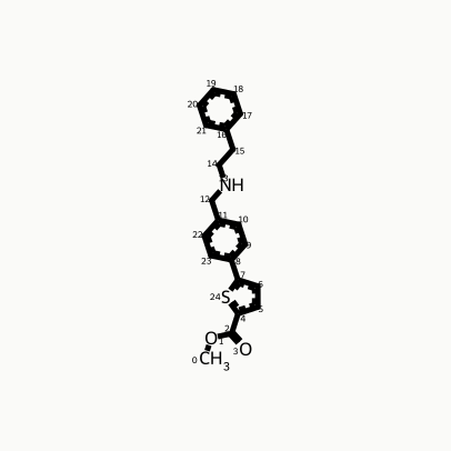 COC(=O)c1ccc(-c2ccc(CNCCc3ccccc3)cc2)s1